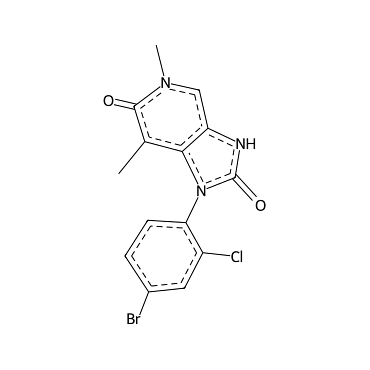 Cc1c(=O)n(C)cc2[nH]c(=O)n(-c3ccc(Br)cc3Cl)c12